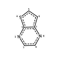 c1cnc2sccc2n1